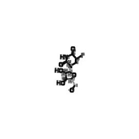 [O]C[C@H]1O[C@@H](n2cc(I)c(=O)[nH]c2=O)[C@H](O)[C@@H]1O